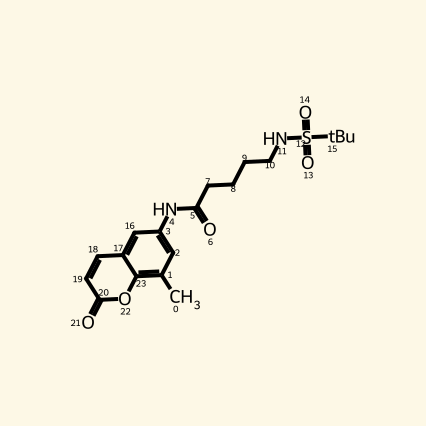 Cc1cc(NC(=O)CCCCNS(=O)(=O)C(C)(C)C)cc2ccc(=O)oc12